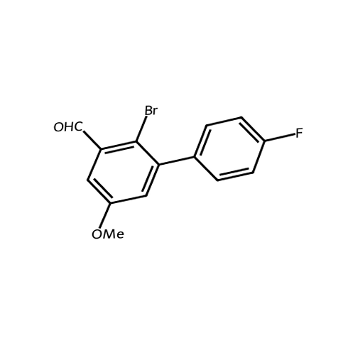 COc1cc(C=O)c(Br)c(-c2ccc(F)cc2)c1